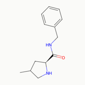 CC1CN[C@H](C(=O)NCc2ccccc2)C1